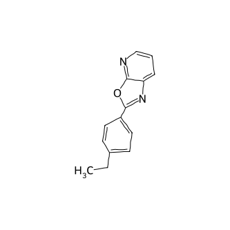 CCc1ccc(-c2nc3cccnc3o2)cc1